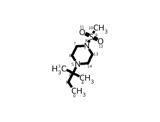 CCC(C)(C)N1CCN(S(C)(=O)=O)CC1